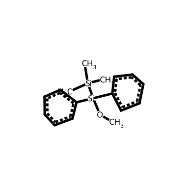 CO[Si](c1ccccc1)(c1ccccc1)[Si](C)(C)C